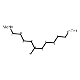 CCCCCCCCCCCCCC(C)CCCCNC